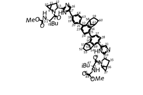 CC[C@H](C)[C@H](NC(=O)OC)C(=O)N1C2CC2C[C@H]1c1ncc(-c2ccc(-c3ccc(-c4ccc(-c5cnc([C@@H]6CC7CC7N6C(=O)[C@@H](NC(=O)OC)[C@@H](C)CC)[nH]5)c5c4C4CCC5C4)c4c3C3CCC4C3)cc2)[nH]1